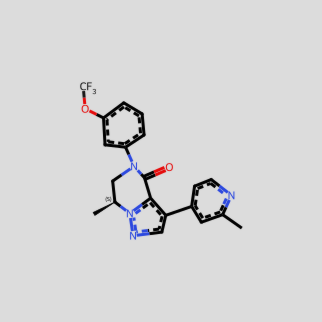 Cc1cc(-c2cnn3c2C(=O)N(c2cccc(OC(F)(F)F)c2)C[C@@H]3C)ccn1